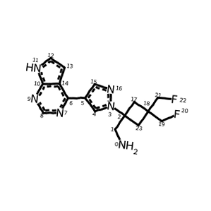 NCC1(n2cc(-c3ncnc4[nH]ccc34)cn2)CC(CF)(CF)C1